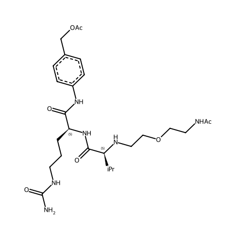 CC(=O)NCCOCCN[C@H](C(=O)N[C@@H](CCCNC(N)=O)C(=O)Nc1ccc(COC(C)=O)cc1)C(C)C